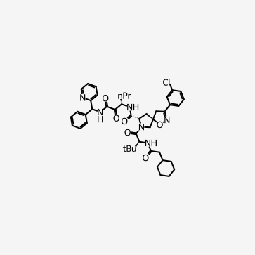 CCC[C@H](NC(=O)[C@@H]1C[C@]2(CC(c3cccc(Cl)c3)=NO2)CN1C(=O)[C@@H](NC(=O)CC1CCCCC1)C(C)(C)C)C(=O)C(=O)NC(c1ccccc1)c1ccccn1